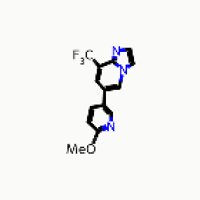 COc1ccc(-c2cc(C(F)(F)F)c3nccn3c2)cn1